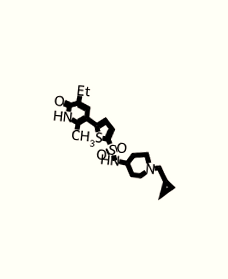 CCc1cc(-c2ccc(S(=O)(=O)NC3CCN(CC4CC4)CC3)s2)c(C)[nH]c1=O